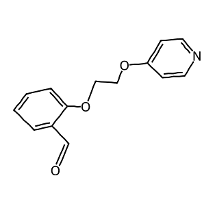 O=Cc1ccccc1OCCOc1ccncc1